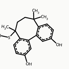 CC1(C)CCC(C)(SCl)c2ccc(O)cc2-c2cc(O)ccc21